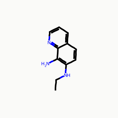 CCNc1ccc2cccnc2c1N